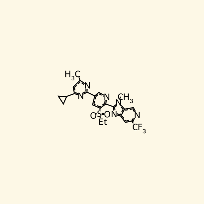 CCS(=O)(=O)c1cc(-c2nc(C)cc(C3CC3)n2)cnc1-c1nc2cc(C(F)(F)F)ncc2n1C